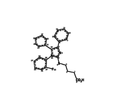 O=C(O)CCCSc1nc(-c2ccccc2)c(-c2ccccc2)n1-c1ccccc1F